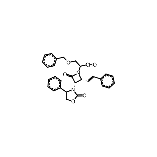 O=CC(COCc1ccccc1)N1C(=O)[C@@H](N2C(=O)OCC2c2ccccc2)[C@H]1/C=C/c1ccccc1